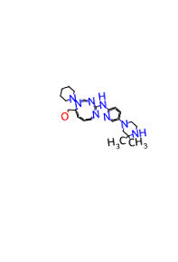 CC1(C)CN(c2ccc(Nc3ncccc(C=O)n(N4CCCCC4)cn3)nc2)CCN1